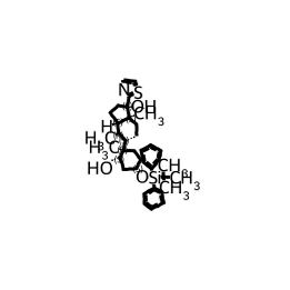 C[C@@H]1[C@@H]([C@@]2(C)CC[C@H](O[Si](c3ccccc3)(c3ccccc3)C(C)(C)C)C[C@@H]2CO)CC[C@@]2(C)[C@H]1CC[C@@]2(O)c1nccs1